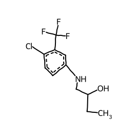 CCC(O)CNc1ccc(Cl)c(C(F)(F)F)c1